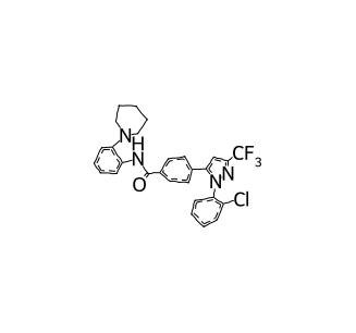 O=C(Nc1ccccc1N1CCCCC1)c1ccc(-c2cc(C(F)(F)F)nn2-c2ccccc2Cl)cc1